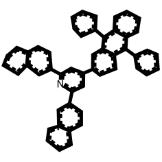 c1ccc(-c2c3ccccc3c(-c3ccccc3)c3cc(-c4cc(-c5ccc6ccccc6c5)nc(-c5ccc6ccccc6c5)c4)ccc23)cc1